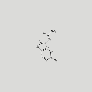 CC(=Cc1n[nH]c2ccc(Br)cc12)[N+](=O)[O-]